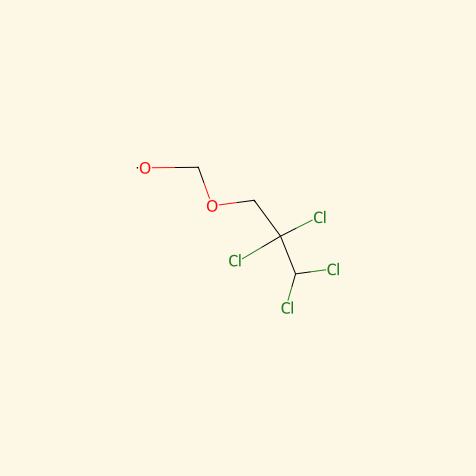 [O]COCC(Cl)(Cl)C(Cl)Cl